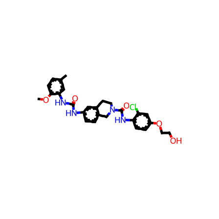 COc1ccc(C)cc1NC(=O)Nc1ccc2c(c1)CCN(C(=O)Nc1ccc(OCCO)cc1Cl)C2